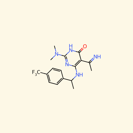 CC(=N)c1c(NC(C)c2ccc(C(F)(F)F)cc2)nc(N(C)C)[nH]c1=O